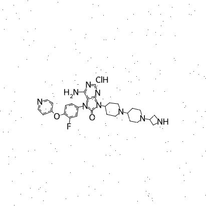 Cl.Nc1ncnc2c1n(-c1ccc(Oc3ccncc3)c(F)c1)c(=O)n2C1CCN(C2CCN(C3CNC3)CC2)CC1